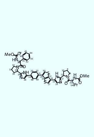 COC(=O)N[C@H](C(=O)N1CCCC1c1ncc(-c2csc3c(-c4ccc(-c5cnc(C6CCCN6C(=O)[C@H](NC(=O)OC)c6ccccc6)[nH]5)cc4)csc23)[nH]1)C(C)C